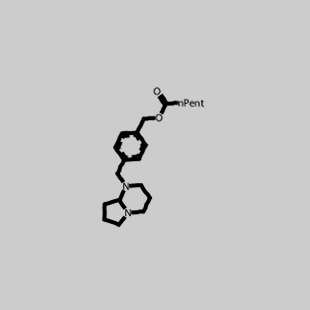 CCCCCC(=O)OCc1ccc(CN2CCCN3CCCC32)cc1